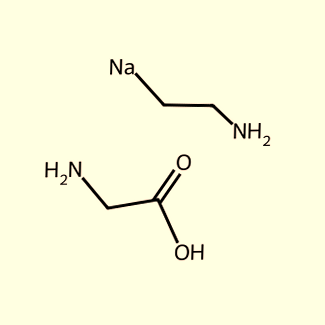 NCC(=O)O.NC[CH2][Na]